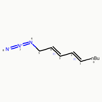 CCCC/C=C/C=C/CN=[N+]=[N-]